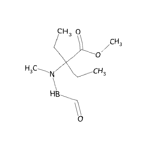 CCC(CC)(C(=O)OC)N(C)BC=O